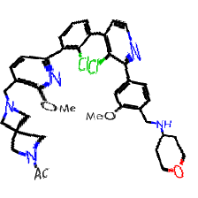 COc1cc(-c2nccc(-c3cccc(-c4ccc(CN5CC6(C5)CN(C(C)=O)C6)c(OC)n4)c3Cl)c2Cl)ccc1CNC1CCOCC1